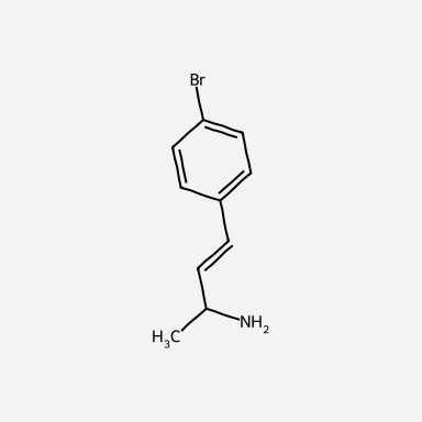 CC(N)C=Cc1ccc(Br)cc1